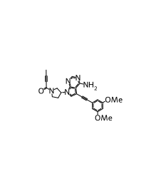 CC#CC(=O)N1CC[C@H](n2cc(C#Cc3cc(OC)cc(OC)c3)c3c(N)ncnc32)C1